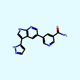 NC(=O)c1cncc(-c2cnc3[nH]cc(-c4ccn[nH]4)c3c2)c1